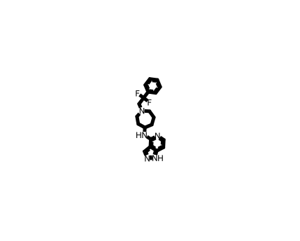 FC(F)(CN1CCCC(Nc2nccc3[nH]ncc23)CC1)c1ccccc1